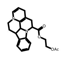 CC(=O)OCCOC(=O)C1CC2=C3C4C(CCN3C=CC2)c2ccccc2N14